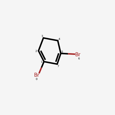 BrC1=CCCC(Br)=C1